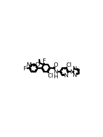 COC(C)C1(F)CC(C(=O)Nc2cnc(-n3nccn3)c(Cl)c2)=C(Cl)C=C1c1ccc(F)cc1